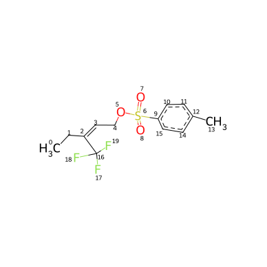 CCC(=CCOS(=O)(=O)c1ccc(C)cc1)C(F)(F)F